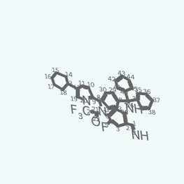 N=Cc1cc(F)c(N(Cc2ccc(C3CCCCC3)cn2)C(=O)C(F)(F)F)cc1NC(c1ccccc1)(c1ccccc1)c1ccccc1